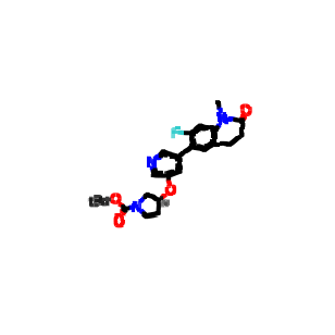 CN1C(=O)CCc2cc(-c3cncc(O[C@H]4CCN(C(=O)OC(C)(C)C)C4)c3)c(F)cc21